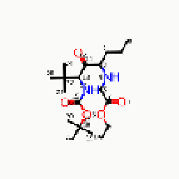 CCCC(NCC(=O)OCC)C(=O)C(NC(=O)OC(C)(C)C)C(C)(C)C